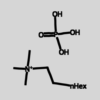 CCCCCCCC[N+](C)(C)C.O=P(O)(O)O